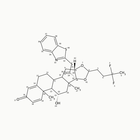 CC(F)(F)CCC1O[C@H]2CC3C4CCC5=CC(=O)C=CC5(C)C4[C@@H](O)CC3(C)[C@]2(C(=O)Sc2nc3ccccc3s2)O1